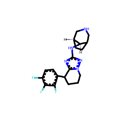 Fc1ccc(C2CCCn3nc(N[C@@H]4C5CC[C@H]4CNC5)nc32)c(F)c1F